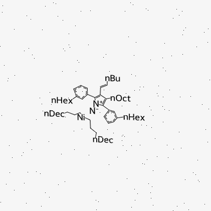 CCCCC=CC1=C(c2cccc(CCCCCC)c2)[N+](=[N-])C(c2cccc(CCCCCC)c2)=C1CCCCCCCC.CCCCCCCCCCCC[CH2][Ni][CH2]CCCCCCCCCCCC